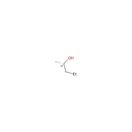 CC[CH][C@H](C)O